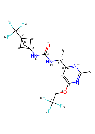 Cc1nc(OCC(F)(F)F)cc([C@@H](C)NC(=O)NC23CC(C(F)(F)F)(C2)C3)n1